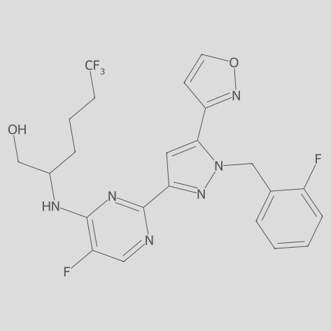 OCC(CCCC(F)(F)F)Nc1nc(-c2cc(-c3ccon3)n(Cc3ccccc3F)n2)ncc1F